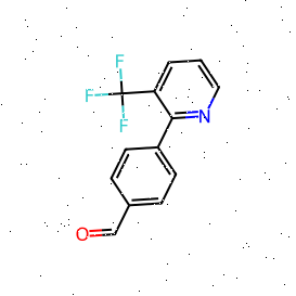 O=Cc1ccc(-c2ncccc2C(F)(F)F)cc1